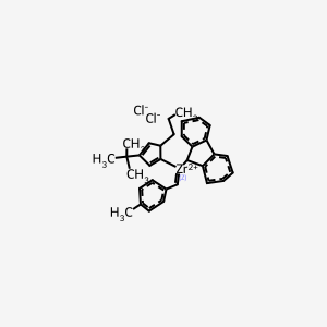 CCCC1C=C(C(C)(C)C)C=[C]1/[Zr+2](=[CH]\c1ccc(C)cc1)[CH]1c2ccccc2-c2ccccc21.[Cl-].[Cl-]